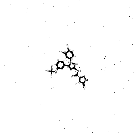 C[C@H]1C(=O)NC[C@@H]1C(=O)Nc1cc(-c2cccc(OC(F)(F)F)c2)n(-c2ccc(Cl)c(F)c2)n1